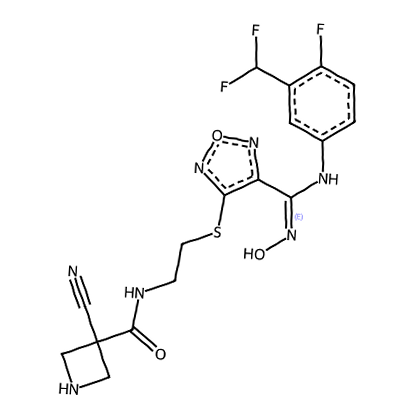 N#CC1(C(=O)NCCSc2nonc2/C(=N\O)Nc2ccc(F)c(C(F)F)c2)CNC1